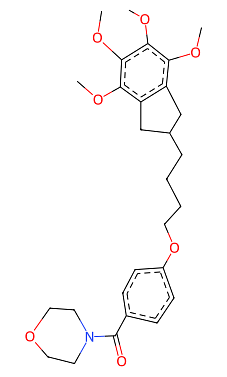 COc1c2c(c(OC)c(OC)c1OC)CC(CCCCOc1ccc(C(=O)N3CCOCC3)cc1)C2